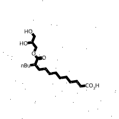 CCCCC(CCCCCCCCCC(=O)O)C(=O)OCC(O)CO